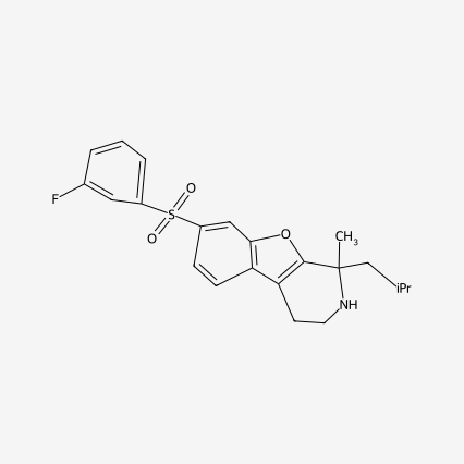 CC(C)CC1(C)NCCc2c1oc1cc(S(=O)(=O)c3cccc(F)c3)ccc21